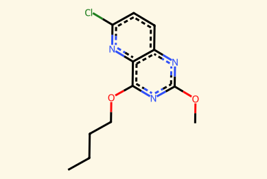 CCCCOc1nc(OC)nc2ccc(Cl)nc12